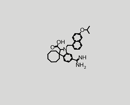 CC(C)Oc1ccc2c(CN3c4cc(C(=N)N)ccc4C4(CCCCCCC4)C3C(=O)O)cccc2c1